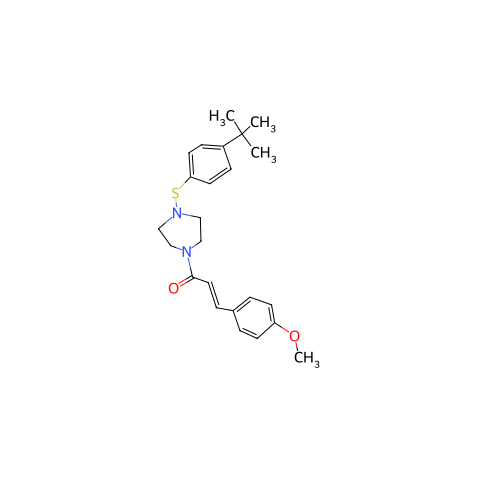 COc1ccc(/C=C/C(=O)N2CCN(Sc3ccc(C(C)(C)C)cc3)CC2)cc1